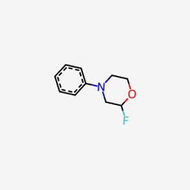 FC1CN(c2ccccc2)CCO1